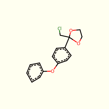 ClCC1(c2ccc(Oc3ccccc3)cc2)OCCO1